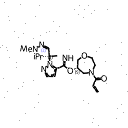 C=CC(=O)N1CCOC[C@@H](OC(=N)c2ccnn2[C@](C)(/C=N\NC)C(C)C)C1